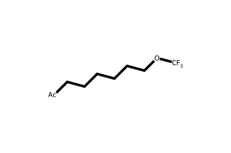 CC(=O)CCCCCCOC(F)(F)F